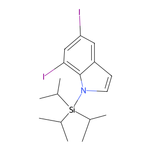 CC(C)[Si](C(C)C)(C(C)C)n1ccc2cc(I)cc(I)c21